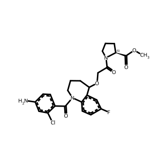 COC(=O)[C@@H]1CCCN1C(=O)COC1CCCN(C(=O)c2ccc(N)cc2Cl)c2ccc(F)cc21